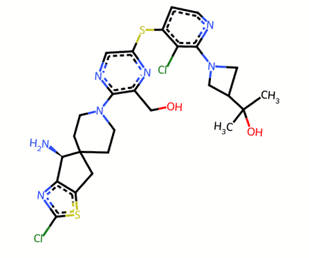 CC(C)(O)C1CN(c2nccc(Sc3cnc(N4CCC5(CC4)Cc4sc(Cl)nc4[C@H]5N)c(CO)n3)c2Cl)C1